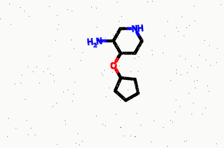 NC1CNCCC1OC1CCCC1